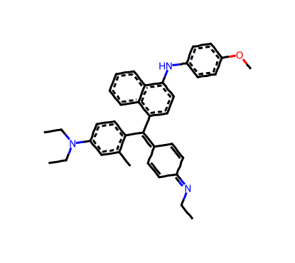 CCN=C1C=CC(=C(c2ccc(N(CC)CC)cc2C)c2ccc(Nc3ccc(OC)cc3)c3ccccc23)C=C1